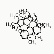 COc1c(C)ccc(C)c1[Si](C1=C(C)C(C)=C(C)C1C)(c1c(C)ccc(C)c1OC)c1c(C)ccc(C)c1OC